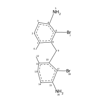 Cc1ccc(N)c(Br)c1Cc1c(C)ccc(N)c1Br